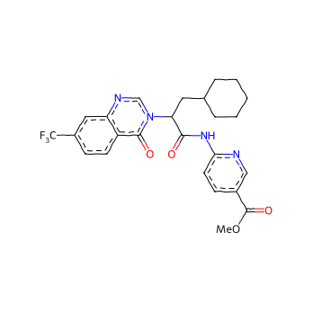 COC(=O)c1ccc(NC(=O)C(CC2CCCCC2)n2cnc3cc(C(F)(F)F)ccc3c2=O)nc1